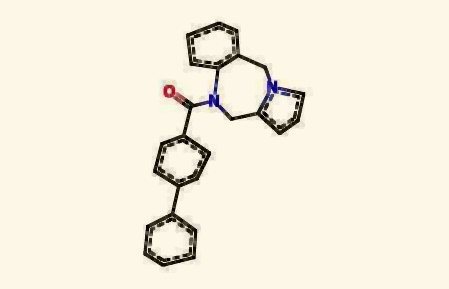 O=C(c1ccc(-c2ccccc2)cc1)N1Cc2cccn2Cc2ccccc21